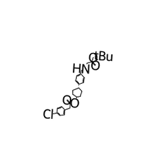 CC(C)(C)OC(=O)CNCc1ccc([C@H]2CC[C@H](OC(=O)Cc3ccc(Cl)cc3)CC2)cc1